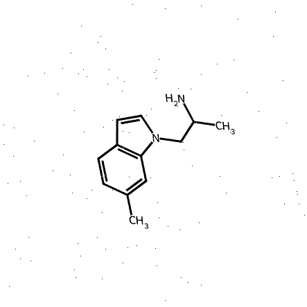 Cc1ccc2ccn(CC(C)N)c2c1